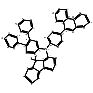 CC1(C)c2ccccc2-c2cccc(N(c3ccc(-c4cc5ccccc5c5ccccc45)cc3)c3ccc(-c4ccccc4)c(-c4ccccc4)c3)c21